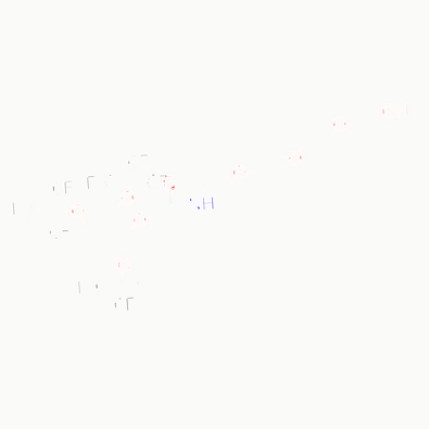 O=C(COCC(COC(C(F)(F)F)(C(F)(F)F)C(F)(F)F)(COC(C(F)(F)F)(C(F)(F)F)C(F)(F)F)COC(C(F)(F)F)(C(F)(F)F)C(F)(F)F)NCCOCCOCCOCCO